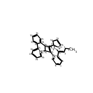 CC/C=C(\C)c1cccc[n+]1C1=C(C2CC=CS2)C2c3ccccc3-c3cccc[n+]3C12